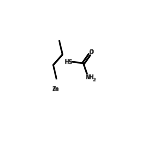 CCCC.NC(=O)S.[Zn]